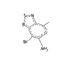 Cc1cc(N)c(Br)c2nsnc12